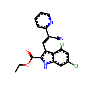 CCOC(=O)c1[nH]c2cc(Cl)cc(Cl)c2c1C=C(C#N)c1ccccn1